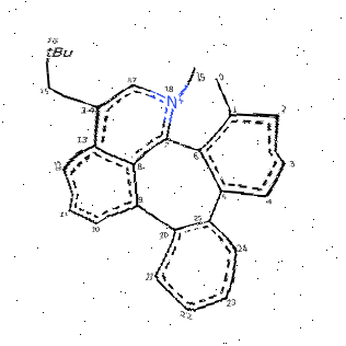 Cc1cccc2c1-c1c3c(cccc3c(CC(C)(C)C)c[n+]1C)-c1ccccc1-2